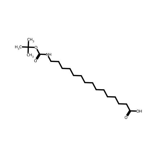 CC(C)(C)OC(=O)NCCCCCCCCCCCCCCC(=O)O